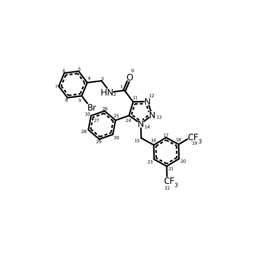 O=C(NCc1ccccc1Br)c1nnn(Cc2cc(C(F)(F)F)cc(C(F)(F)F)c2)c1-c1ccccc1